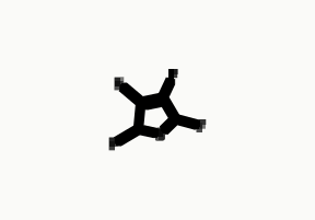 FC1=C(F)C(F)SC1F